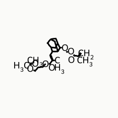 C=C(C)C(=O)OCOC1C2CC3CC(C2)C(/C=C(\C)C(=O)OCC2COC(C)(C)O2)C1C3